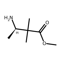 COC(=O)C(C)(C)[C@@H](C)N